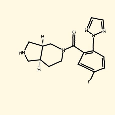 O=C(c1cc(F)ccc1-n1nccn1)N1CC[C@H]2CNC[C@H]2C1